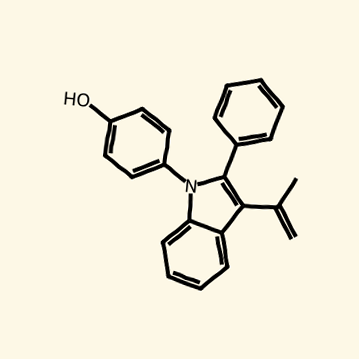 C=C(C)c1c(-c2ccccc2)n(-c2ccc(O)cc2)c2ccccc12